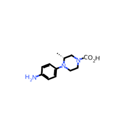 C[C@@H]1CN(C(=O)O)CCN1c1ccc(N)cc1